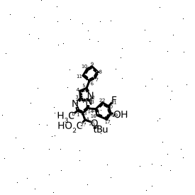 Cc1nc2cc(-c3ccccc3)nn2c(-c2ccc(O)c(F)c2)c1C(OC(C)(C)C)C(=O)O